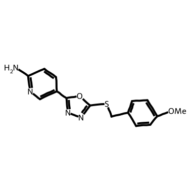 COc1ccc(CSc2nnc(-c3ccc(N)nc3)o2)cc1